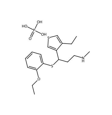 CCOc1ccccc1SC(CCNC)c1cscc1CC.O=P(O)(O)O